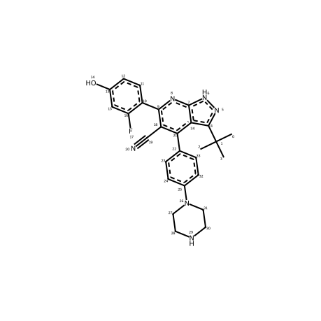 CC(C)(C)c1n[nH]c2nc(-c3ccc(O)cc3F)c(C#N)c(-c3ccc(N4CCNCC4)cc3)c12